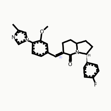 COc1cc(/C=C2\CCC3CC[C@H](c4ccc(F)cc4)N3C2=O)ccc1-n1cnc(C)c1